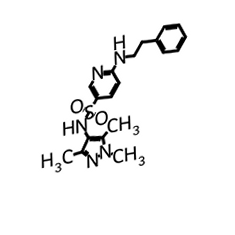 Cc1nn(C)c(C)c1NS(=O)(=O)c1ccc(NCCc2ccccc2)nc1